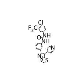 O=C(Nc1cccc(-c2nn3c(c2-c2ccncc2)SCC3)c1)Nc1ccc(Cl)c(C(F)(F)F)c1